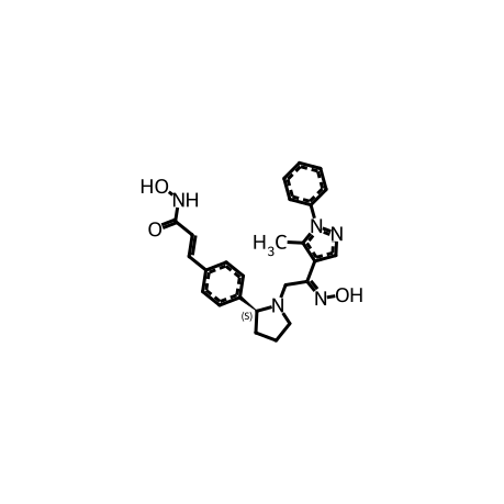 Cc1c(C(CN2CCC[C@H]2c2ccc(C=CC(=O)NO)cc2)=NO)cnn1-c1ccccc1